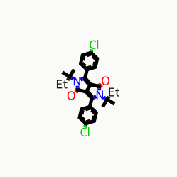 CCC(C)(C)N1C(=O)C2=C(c3ccc(Cl)cc3)N(C(C)(C)CC)C(=O)C2=C1c1ccc(Cl)cc1